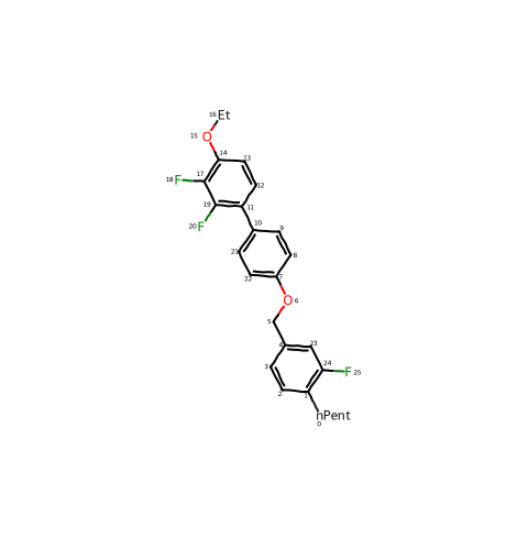 CCCCCc1ccc(COc2ccc(-c3ccc(OCC)c(F)c3F)cc2)cc1F